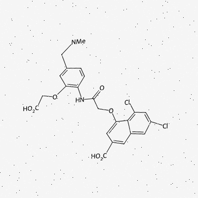 CNCc1ccc(NC(=O)COc2cc(C(=O)O)cc3cc(Cl)cc(Cl)c23)c(OCC(=O)O)c1